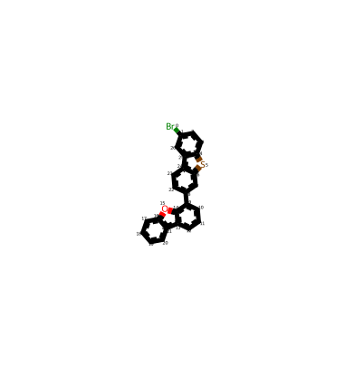 Brc1ccc2sc3cc(-c4cccc5c4oc4ccccc45)ccc3c2c1